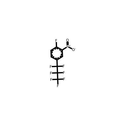 O=[N+]([O-])c1cc(C(F)(F)C(F)(F)C(F)(F)F)ccc1F